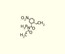 C=CC(=O)N(P)C(=O)c1cc([N+](=O)[O-])ccc1C=C